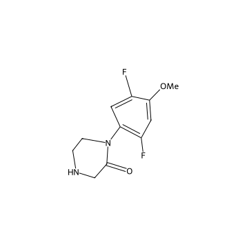 COc1cc(F)c(N2CCNCC2=O)cc1F